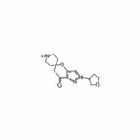 O=C1CC2(CCNCC2)Oc2cn(C3CCOC3)nc21